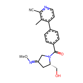 CO/N=C1/C[C@@H](CO)N(C(=O)c2ccc(-c3ccnc(C#N)c3C)cc2)C1